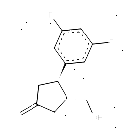 C=C1C[C@@H](CO)[C@H](c2cc(F)cc(F)c2)C1